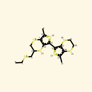 CCSCC1CSc2c(C)sc(-c3sc(C)c4c3SCCS4)c2S1